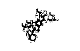 CCC(=O)N[C@@H](C(=O)N1CCN(C)CC1)[C@@H](C)c1ccc(NC(=O)[C@H](C2CCCCCC2)N(C=O)c2cccn2C(C)C)c(F)c1